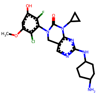 COc1cc(O)c(F)c(N2Cc3cnc(NC4CCC(N)CC4)nc3N(C3CC3)C2=O)c1Cl